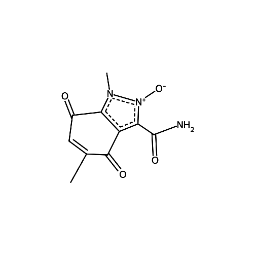 CC1=CC(=O)c2c(c(C(N)=O)[n+]([O-])n2C)C1=O